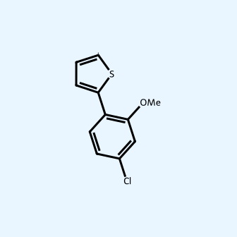 COc1cc(Cl)ccc1-c1cc[c]s1